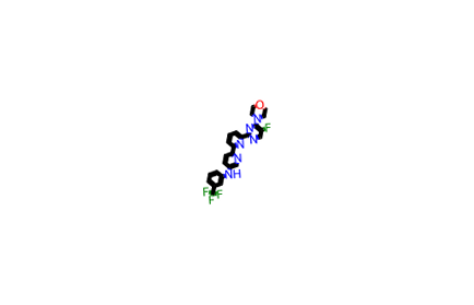 Fc1cnc(-c2cccc(-c3ccc(Nc4cccc(C(F)(F)F)c4)cn3)n2)nc1N1CCOCC1